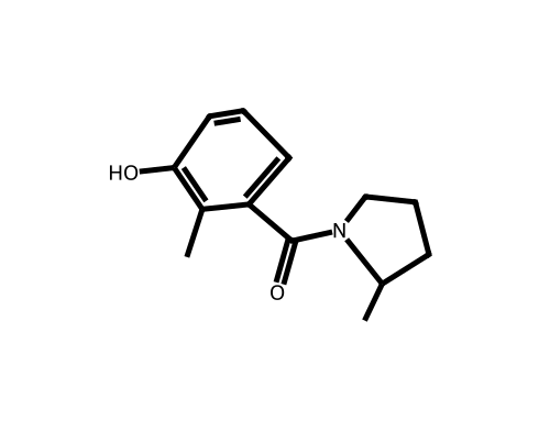 Cc1c(O)cccc1C(=O)N1CCCC1C